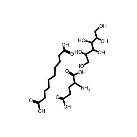 NC(CCC(=O)O)C(=O)O.O=C(O)CCCCCCCCC(=O)O.OCC(O)C(O)C(O)C(O)CO